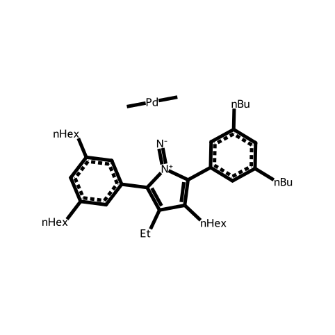 CCCCCCC1=C(c2cc(CCCC)cc(CCCC)c2)[N+](=[N-])C(c2cc(CCCCCC)cc(CCCCCC)c2)=C1CC.[CH3][Pd][CH3]